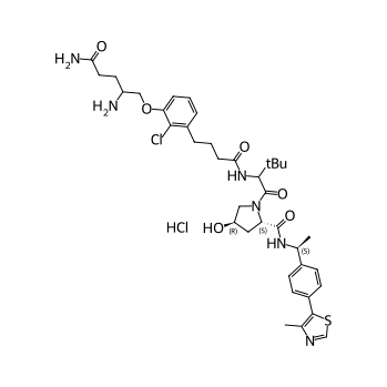 Cc1ncsc1-c1ccc([C@H](C)NC(=O)[C@@H]2C[C@@H](O)CN2C(=O)C(NC(=O)CCCc2cccc(OCC(N)CCC(N)=O)c2Cl)C(C)(C)C)cc1.Cl